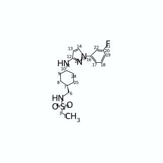 CCS(=O)(=O)NC[C@H]1CC[C@H](Nc2ccn(-c3cccc(F)c3)n2)CC1